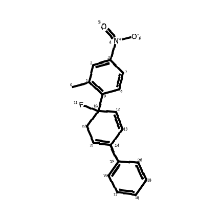 Cc1cc([N+](=O)[O-])ccc1C1(F)C=CC(c2ccccc2)=CC1